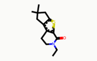 CCN1CCc2c(sc3c2CC(C)(C)C3)C1=O